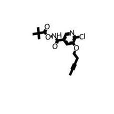 CC#CCCOc1cc(C(=O)NOC(=O)C(C)(C)C)cnc1Cl